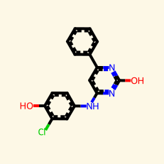 Oc1nc(Nc2ccc(O)c(Cl)c2)cc(-c2ccccc2)n1